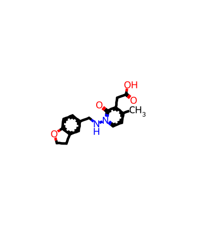 Cc1ccn(NCc2ccc3c(c2)CCO3)c(=O)c1CC(=O)O